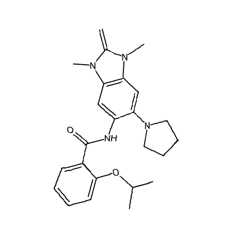 C=C1N(C)c2cc(NC(=O)c3ccccc3OC(C)C)c(N3CCCC3)cc2N1C